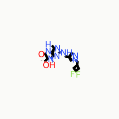 Cc1nc(NCc2cnn(CC3CC(F)(F)C3)c2)nc2c1NC(=O)[C@H]([C@@H](C)O)N2C